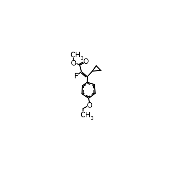 CCOc1ccc(C(=C(F)C(=O)OC)C2CC2)cc1